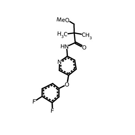 COCC(C)(C)C(=O)Nc1ccc(Oc2ccc(F)c(F)c2)cn1